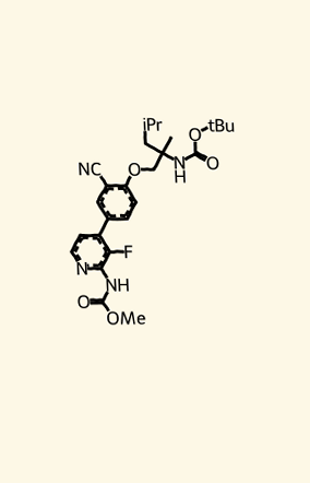 COC(=O)Nc1nccc(-c2ccc(OCC(C)(CC(C)C)NC(=O)OC(C)(C)C)c(C#N)c2)c1F